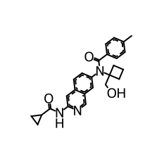 Cc1ccc(C(=O)N(c2ccc3cc(NC(=O)C4CC4)ncc3c2)C2(CO)CCC2)cc1